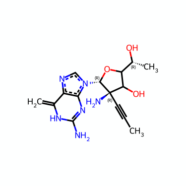 C=C1NC(N)=Nc2c1ncn2[C@@H]1OC([C@@H](C)O)C(O)[C@]1(N)C#CC